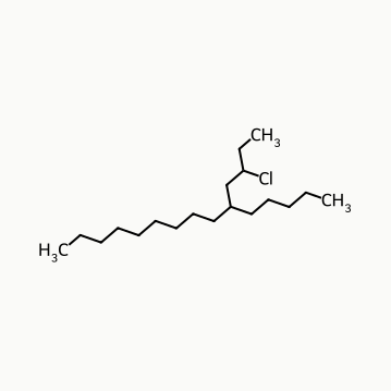 CCCCCCCCCC(CCCCC)CC(Cl)CC